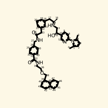 Cc1ccc(C)n1-c1ccc([C@H](O)CN[C@H](C)Cc2cccc(CC(=O)NCc3ccc(C(=O)NCCOCc4cccc5ccccc45)cc3)c2)cn1